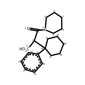 O=C(O)C(C(=O)N1CCCCC1)C1(c2[c]cccc2)CCCCC1